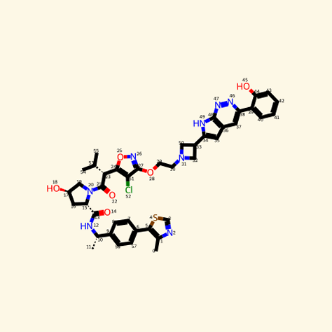 Cc1ncsc1-c1ccc([C@H](C)NC(=O)[C@@H]2C[C@@H](O)CN2C(=O)[C@@H](c2onc(OCCN3CC(c4cc5cc(-c6ccccc6O)nnc5[nH]4)C3)c2Cl)C(C)C)cc1